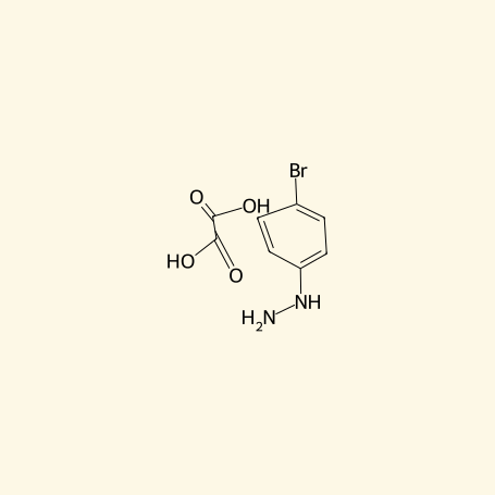 NNc1ccc(Br)cc1.O=C(O)C(=O)O